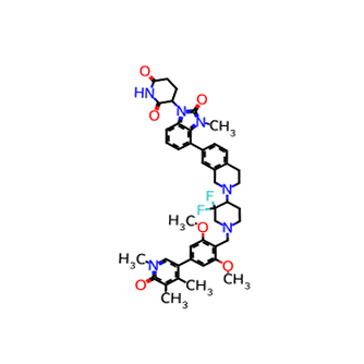 COc1cc(-c2cn(C)c(=O)c(C)c2C)cc(OC)c1CN1CCC(N2CCc3ccc(-c4cccc5c4n(C)c(=O)n5C4CCC(=O)NC4=O)cc3C2)C(F)(F)C1